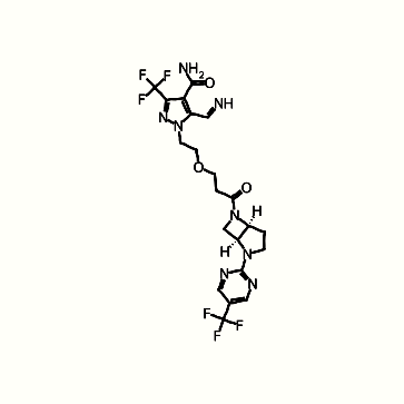 N=Cc1c(C(N)=O)c(C(F)(F)F)nn1CCOCCC(=O)N1C[C@H]2[C@@H]1CCN2c1ncc(C(F)(F)F)cn1